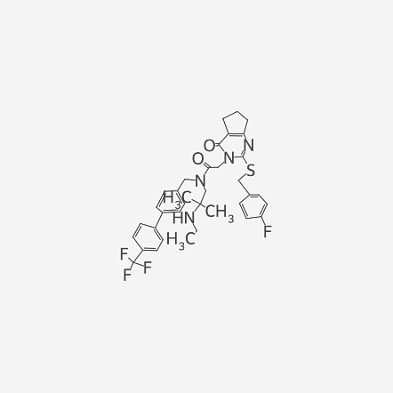 CCNC(C)(C)CN(Cc1ccc(-c2ccc(C(F)(F)F)cc2)cc1)C(=O)Cn1c(SCc2ccc(F)cc2)nc2c(c1=O)CCC2